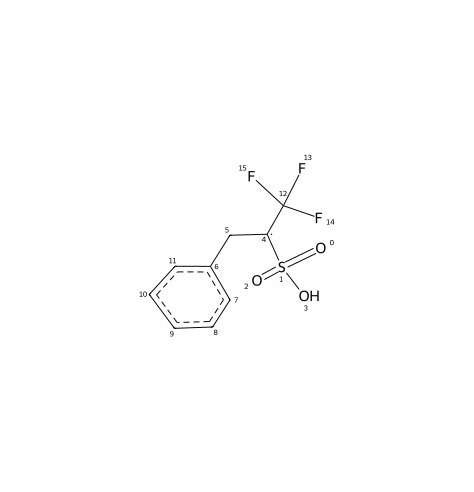 O=S(=O)(O)[C](Cc1ccccc1)C(F)(F)F